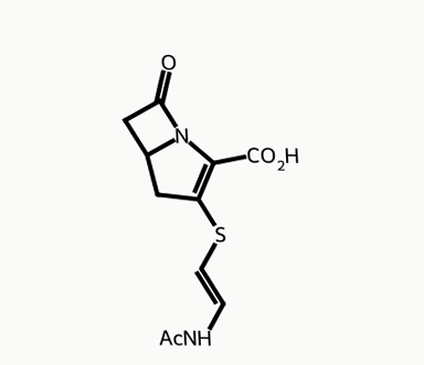 CC(=O)N/C=C/SC1=C(C(=O)O)N2C(=O)CC2C1